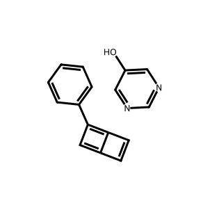 Oc1cncnc1.c1ccc(-c2cc3ccc2-3)cc1